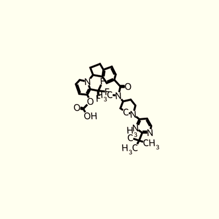 CN(C(=O)c1ccc2c(c1)C(N1CC=CC(OC(=O)O)=C1C(F)(F)F)CC2)C1CCN(c2ccnc(C(C)(C)C)n2)CC1